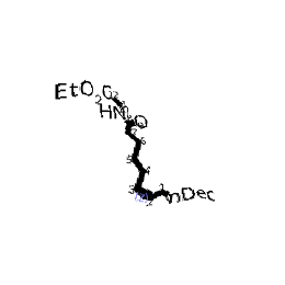 CCCCCCCCCCC/C=C\CCCCC(=O)NCC(=O)OCC